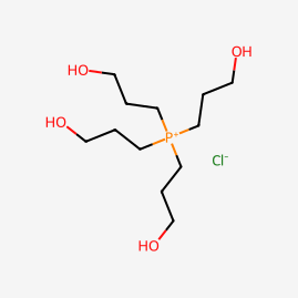 OCCC[P+](CCCO)(CCCO)CCCO.[Cl-]